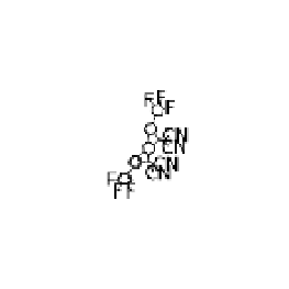 N#CC(C#N)=C1c2cc(C3=CC(F)=C(F)C(F)C3)ccc2-c2cc3c(cc21)C(=C(C#N)C#N)c1cc(-c2cc(F)c(F)c(F)c2)ccc1-3